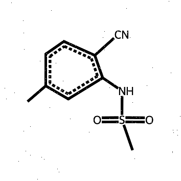 Cc1ccc(C#N)c(NS(C)(=O)=O)c1